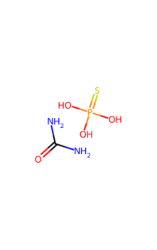 NC(N)=O.OP(O)(O)=S